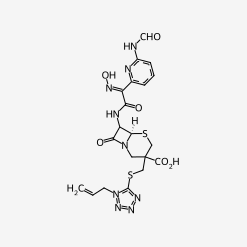 C=CCn1nnnc1SCC1(C(=O)O)CS[C@@H]2C(NC(=O)C(=NO)c3cccc(NC=O)n3)C(=O)N2C1